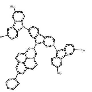 CC(C)(C)c1ccc2c(c1)c1cc(C(C)(C)C)ccc1n2-c1ccc2c3ccc(-n4c5ccc(C(C)(C)C)cc5c5cc(C(C)(C)C)ccc54)cc3n(-c3cc4ccc5cc(-c6ccccc6)cc6ccc(c3)c4c56)c2c1